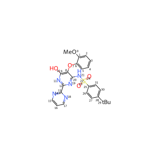 COc1ccccc1Oc1c(O)nc(-c2ncccn2)nc1NS(=O)(=O)c1ccc(C(C)(C)C)cc1